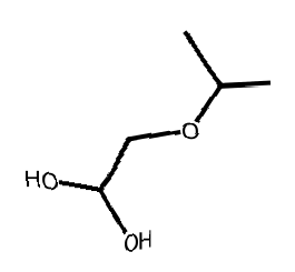 CC(C)OCC(O)O